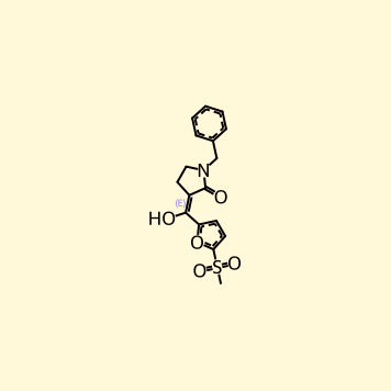 CS(=O)(=O)c1ccc(/C(O)=C2/CCN(Cc3ccccc3)C2=O)o1